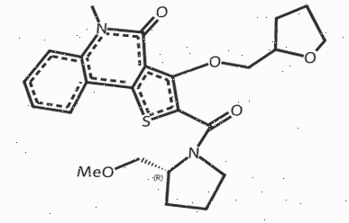 COC[C@H]1CCCN1C(=O)c1sc2c(c1OCC1CCCO1)c(=O)n(C)c1ccccc21